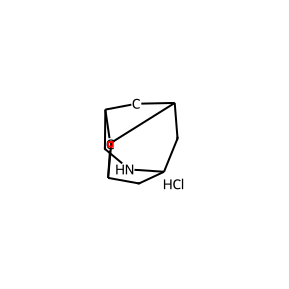 C1NC2CC3CC1CC(C3)C2.Cl